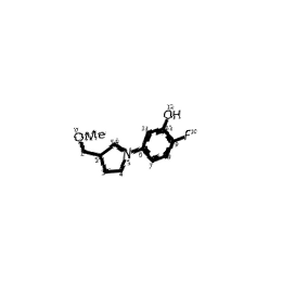 COCC1CCN(c2ccc(F)c(O)c2)C1